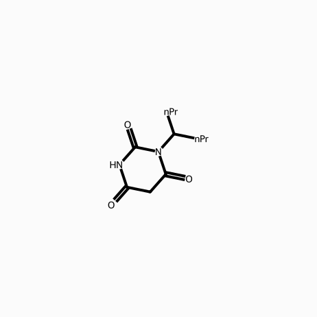 CCCC(CCC)N1C(=O)CC(=O)NC1=O